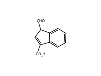 O=CC1C=C(C(=O)O)c2ccccc21